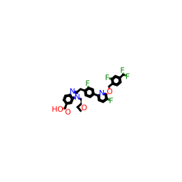 O=C(O)c1ccc2nc(Cc3ccc(-c4ccc(F)c(OCc5ccc(C(F)F)cc5F)n4)cc3F)n(C[C@@H]3CCO3)c2c1